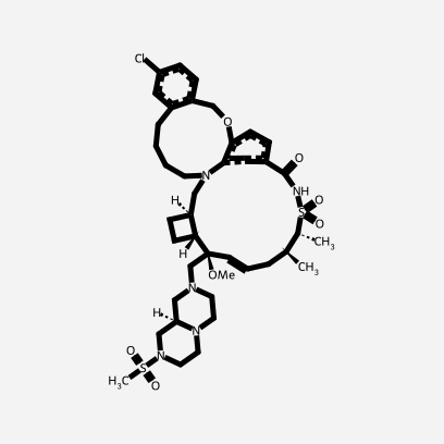 CO[C@]1(CN2CCN3CCN(S(C)(=O)=O)C[C@H]3C2)/C=C/C[C@H](C)[C@@H](C)S(=O)(=O)NC(=O)c2ccc3c(c2)N(CCCCc2cc(Cl)ccc2CO3)C[C@@H]2CC[C@H]21